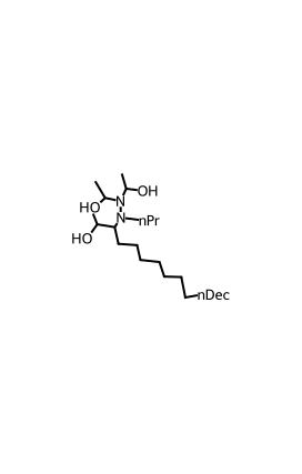 CCCCCCCCCCCCCCCCCC(C(C)O)N(CCC)N(C(C)O)C(C)O